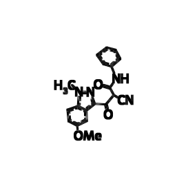 COc1ccc2c(c1)c(C(=O)C(C#N)C(=O)Nc1ccccc1)nn2C